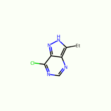 CCc1[nH]nc2c(Cl)ncnc12